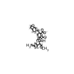 CON=C(C(=O)NC1C(=O)N2C(C(=O)[O-])=C(C[n+]3ccc4ccoc4c3)CS[C@@H]12)c1csc(N)n1